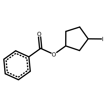 O=C(OC1CCC(I)C1)c1ccccc1